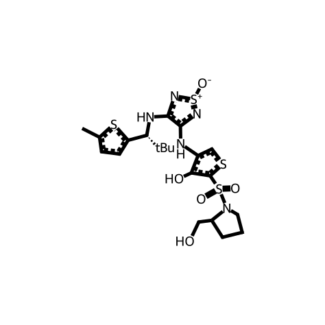 Cc1ccc([C@H](Nc2n[s+]([O-])nc2Nc2csc(S(=O)(=O)N3CCCC3CO)c2O)C(C)(C)C)s1